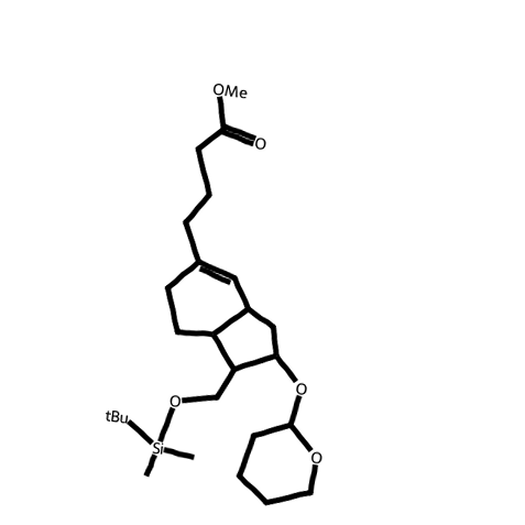 COC(=O)CCCC1=CC2CC(OC3CCCCO3)C(CO[Si](C)(C)C(C)(C)C)C2CC1